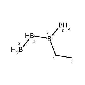 BBB(B)CC